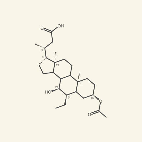 CC[C@@H]1C2C[C@H](OC(C)=O)CC[C@]2(C)C2CC[C@@]3(C)C(CC[C@@H]3[C@H](C)CC(=O)O)C2[C@@H]1O